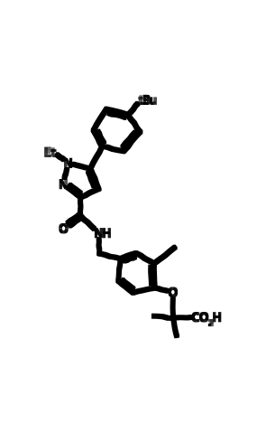 CCn1nc(C(=O)NCc2ccc(OC(C)(C)C(=O)O)c(C)c2)cc1-c1ccc(C(C)(C)C)cc1